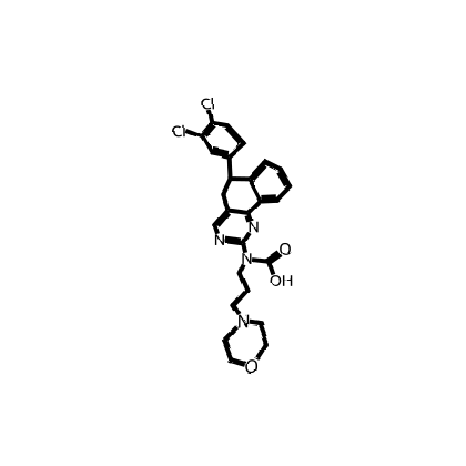 O=C(O)N(CCCN1CCOCC1)c1ncc2c(n1)-c1ccccc1C(c1ccc(Cl)c(Cl)c1)C2